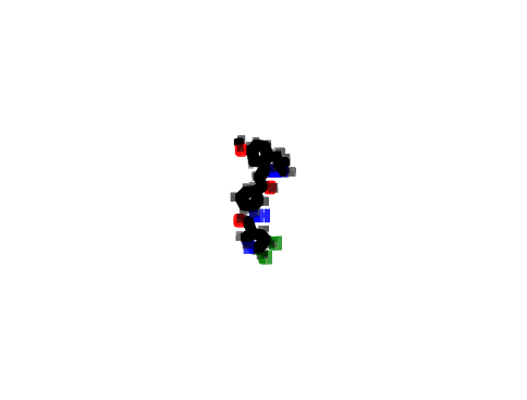 COc1ccc2c(c1)C(=CC(=O)c1cccc(NC(=O)c3cnc(Cl)c(Cl)c3)c1)NC(C)(C)C2